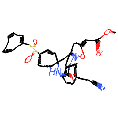 COC(=O)C=C1CC2(c3cccc(C#N)c3)N(O1)C(=O)NC21C=CC(S(=O)(=O)c2ccccc2)=CC1